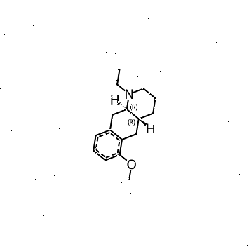 CCN1CCC[C@@H]2Cc3c(cccc3OC)C[C@H]21